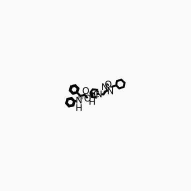 O=C(O[C@H]1C[N+]2(Cc3noc(C4CCCCC4)n3)CCC1CC2)[C@H](Nc1ccccc1)c1ccccc1